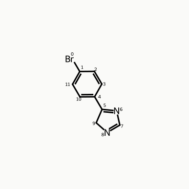 Brc1ccc(C2=NC=NC2)cc1